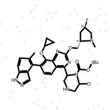 Cc1ccc2[nH]ncc2c1-c1ccc2c(C3CNCC(Cl)N3C(=O)OC(C)(C)C)nc(OC[C@@H]3C[C@@H](F)CN3C)nc2c1OC1CC1